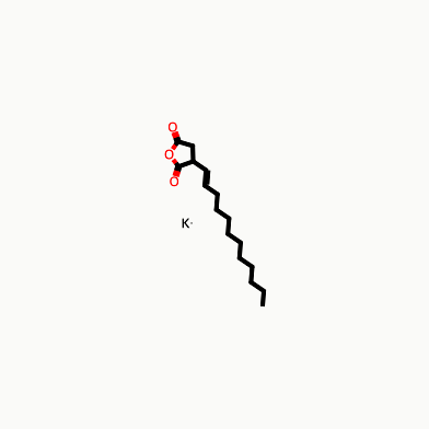 CCCCCCCCCCC=CC1CC(=O)OC1=O.[K]